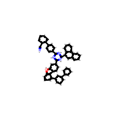 N#Cc1ccccc1-c1ccc(-c2nc(-c3ccc4c(c3)oc3cccc(-c5cccc(-c6ccccc6)c5)c34)nc(-c3cc4ccccc4c4ccccc34)n2)cc1